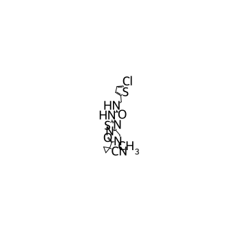 CN(Cc1nsc(NC(=O)NCc2ccc(Cl)s2)n1)C(=O)C1(C#N)CC1